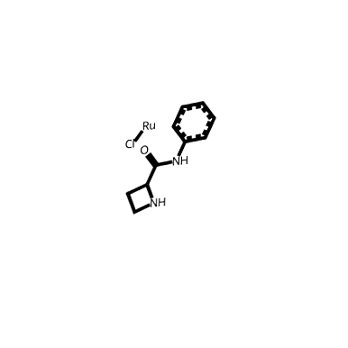 O=C(Nc1ccccc1)C1CCN1.[Cl][Ru]